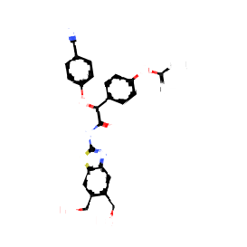 CC(C)Oc1ccc(C(Oc2ccc(C#N)cc2)C(=O)Nc2nc3cc(CO)c(CO)cc3s2)cc1